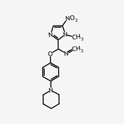 C=NC(Oc1ccc(N2CCCCC2)cc1)c1ncc([N+](=O)[O-])n1C